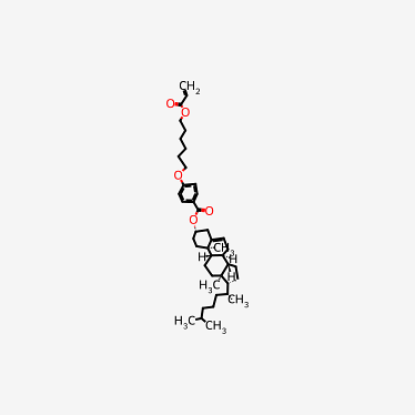 C=CC(=O)OCCCCCCOc1ccc(C(=O)O[C@H]2CC[C@@]3(C)C(=CC[C@H]4[C@@H]5CC[C@H]([C@H](C)CCCC(C)C)[C@@]5(C)CC[C@@H]43)C2)cc1